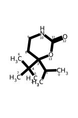 CC(C)C1(C(C)(C)C)CCNC(=O)O1